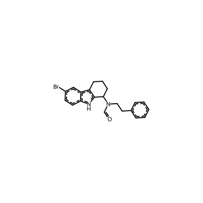 O=CN(CCc1ccccc1)C1CCCc2c1[nH]c1ccc(Br)cc21